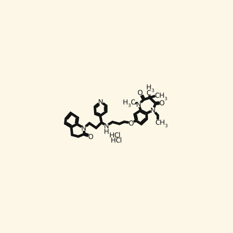 CCN1C(=O)C(C)(C)C(=O)N(C)c2cc(OCCCNC(CCN3C(=O)CCc4ccccc43)c3ccncc3)ccc21.Cl.Cl